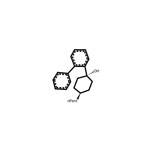 CCCCC[C@H]1CC[C@@](O)(c2ccccc2-c2ccccc2)CC1